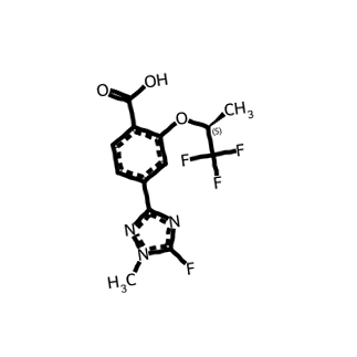 C[C@H](Oc1cc(-c2nc(F)n(C)n2)ccc1C(=O)O)C(F)(F)F